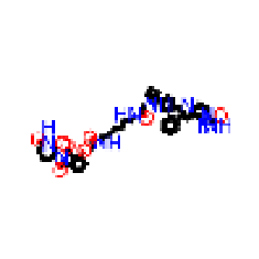 O=C(CNC1(c2ccc(-c3nc4ccn5c(=O)[nH]nc5c4cc3-c3ccccc3)cc2)CCC1)NCCCCCCNC(=O)COc1cccc2c1C(=O)N([C@H]1CCCC(=O)NC1=O)C2=O